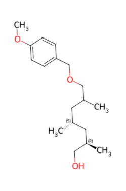 COc1ccc(COCC(C)C[C@@H](C)C[C@@H](C)CO)cc1